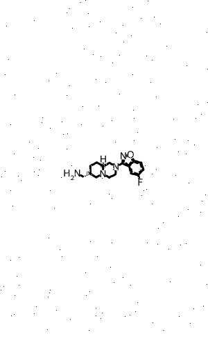 NC[C@@H]1CC[C@H]2CN(c3noc4ccc(F)cc34)CCN2C1